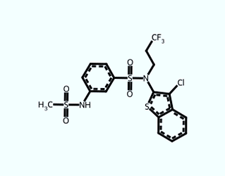 CS(=O)(=O)Nc1cccc(S(=O)(=O)N(CCC(F)(F)F)c2sc3ccccc3c2Cl)c1